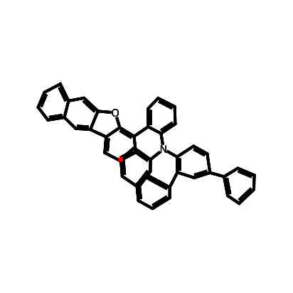 c1ccc(-c2ccc(N(c3ccccc3)c3ccccc3-c3cccc4c3oc3cc5ccccc5cc34)c(-c3ccccc3)c2)cc1